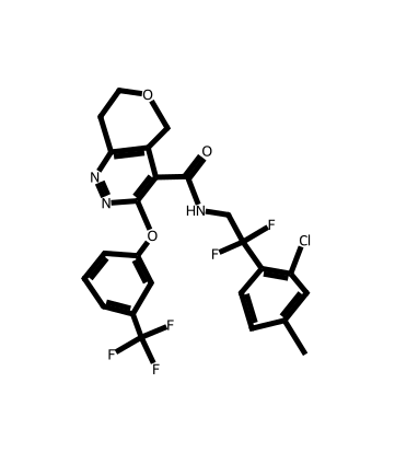 Cc1ccc(C(F)(F)CNC(=O)c2c(Oc3cccc(C(F)(F)F)c3)nnc3c2COCC3)c(Cl)c1